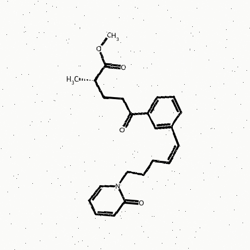 COC(=O)[C@@H](C)CCC(=O)c1cccc(/C=C\CCCn2ccccc2=O)c1